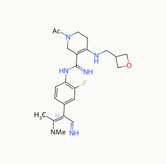 CN/C(C)=C(\C=N)c1ccc(NC(=N)C2=C(NCC3COC3)CCN(C(C)=O)C2)c(F)c1